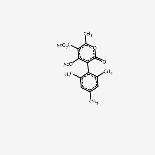 CCOC(=O)c1c(C)oc(=O)c(-c2c(C)cc(C)cc2C)c1OC(C)=O